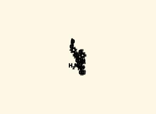 COCCOc1ccc(N2CCN(C(=O)C(c3cccc(OC)c3)n3ncc4c3nc(N)n3nc(-c5ccco5)nc43)CC2)cc1